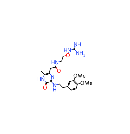 COc1ccc(CCNc2nc(CC(=O)NCCONC(=N)N)c(C)[nH]c2=O)cc1OC